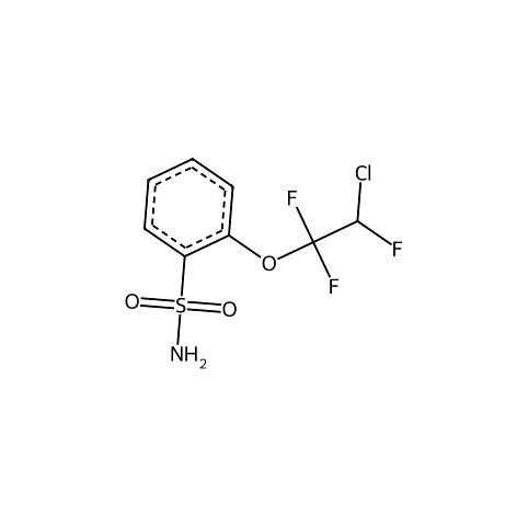 NS(=O)(=O)c1ccccc1OC(F)(F)C(F)Cl